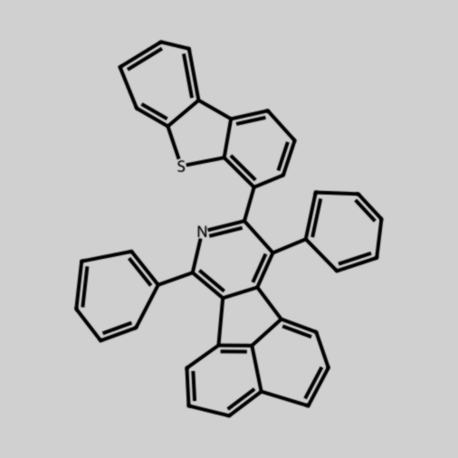 c1ccc(-c2nc(-c3cccc4c3sc3ccccc34)c(-c3ccccc3)c3c2-c2cccc4cccc-3c24)cc1